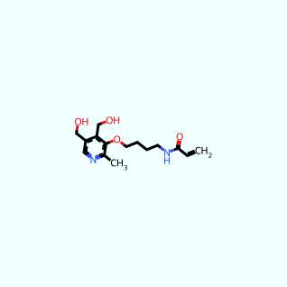 C=CC(=O)NCCCCOc1c(C)ncc(CO)c1CO